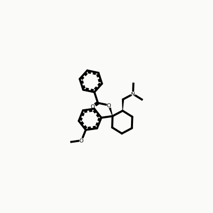 COc1cccc([C@@]2(OC(=O)c3ccccc3)CCCC[C@@H]2CN(C)C)c1